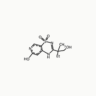 [CH2]CC(C)(CO)C1=NS(=O)(=O)c2cnc(O)cc2N1